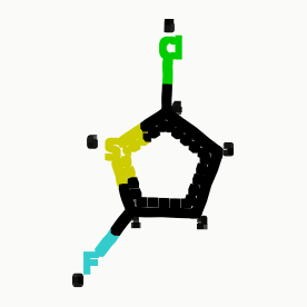 Fc1ccc(Cl)s1